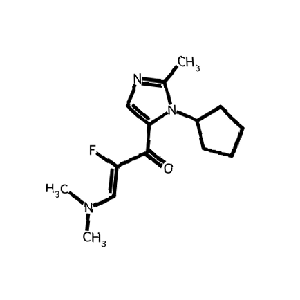 Cc1ncc(C(=O)/C(F)=C/N(C)C)n1C1CCCC1